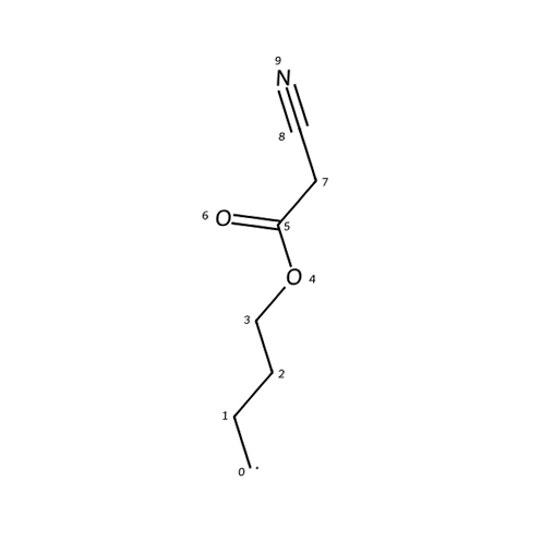 [CH2]CCCOC(=O)CC#N